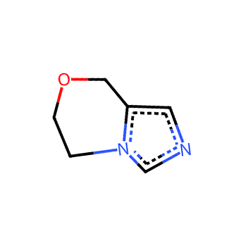 c1ncn2c1COCC2